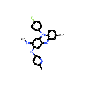 Cc1ccc(Nc2cc3nc4cc(C#N)ccc4n(-c4ccc(F)cc4)c-3c/c2=N\C(C)C)cn1